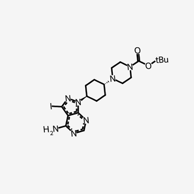 CC(C)(C)OC(=O)N1CCN([C@H]2CC[C@H](n3nc(I)c4c(N)ncnc43)CC2)CC1